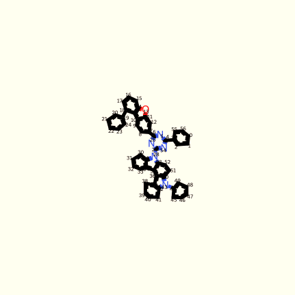 c1ccc(-c2nc(-c3ccc4c(c3)oc3cccc(-c5ccccc5)c34)nc(-n3c4ccccc4c4c5c6ccccc6n(-c6ccccc6)c5ccc43)n2)cc1